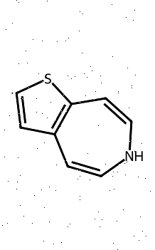 [c]1cc2c(s1)C=CNC=C2